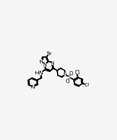 O=S(=O)(c1ccc(Cl)cc1Cl)N1CCC(c2cc(NCc3cccnc3)n3ncc(Br)c3n2)CC1